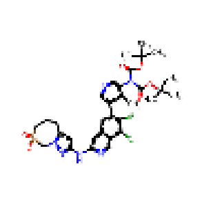 Cc1c(-c2cc3cc(Nc4cc5n(n4)CS(=O)(=O)CCC5)ncc3c(Cl)c2F)cncc1N(C(=O)OC(C)(C)C)C(=O)OC(C)(C)C